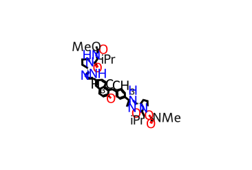 CNC(=O)O[C@H](C(=O)N1CCC[C@H]1c1ncc(-c2ccc3c(c2)Oc2ccc4cc(-c5cnc([C@@H]6CCCN6C(=O)[C@@H](NC(=O)OC)C(C)C)[nH]5)ccc4c2C3(C)C)[nH]1)C(C)C